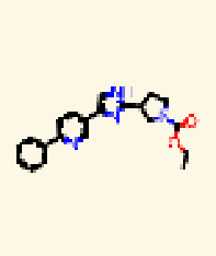 CCOC(=O)N1CCC(c2nc(-c3ccc(-c4ccccc4)nc3)c[nH]2)C1